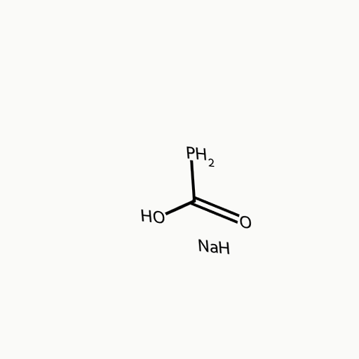 O=C(O)P.[NaH]